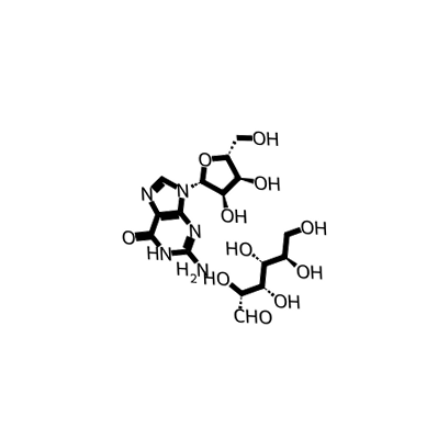 Nc1nc2c(ncn2[C@@H]2O[C@H](CO)[C@@H](O)[C@H]2O)c(=O)[nH]1.O=C[C@H](O)[C@@H](O)[C@H](O)[C@H](O)CO